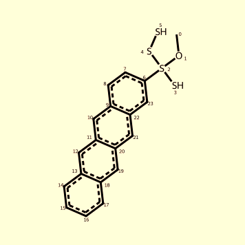 COS(S)(SS)c1ccc2cc3cc4ccccc4cc3cc2c1